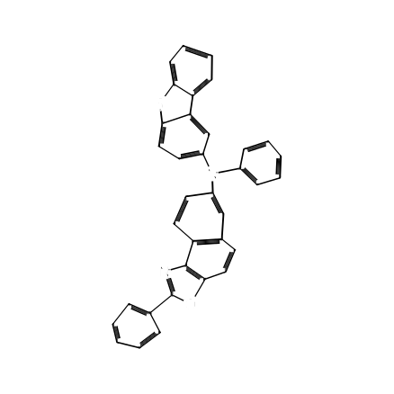 c1ccc(-c2nc3c(ccc4cc(N(c5ccccc5)c5ccc6sc7ccccc7c6c5)ccc43)o2)cc1